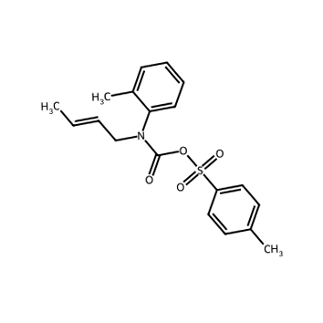 CC=CCN(C(=O)OS(=O)(=O)c1ccc(C)cc1)c1ccccc1C